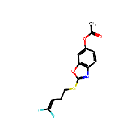 CC(=O)Oc1ccc2nc(SCCC=C(F)F)oc2c1